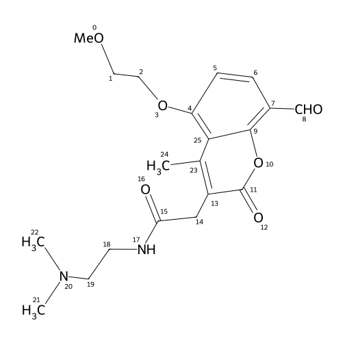 COCCOc1ccc(C=O)c2oc(=O)c(CC(=O)NCCN(C)C)c(C)c12